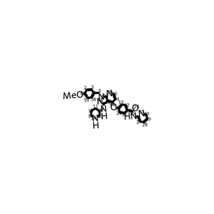 COc1ccc(Cn2nc(N[C@@H]3CCCNC3)c3c(Oc4ccc(C(=O)Nc5ccccn5)cc4)ccnc32)cc1